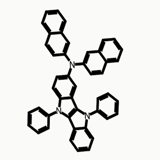 c1ccc(-n2c3ccc(N(c4ccc5ccccc5c4)c4ccc5ccccc5c4)cc3c3c2c2ccccc2n3-c2ccccc2)cc1